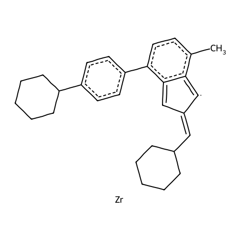 Cc1ccc(-c2ccc(C3CCCCC3)cc2)c2c1=[C]C(=CC1CCCCC1)C=2.[Zr]